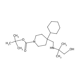 CC(C)(CO)NCC1(C2CCCCC2)CCN(C(=O)OC(C)(C)C)CC1